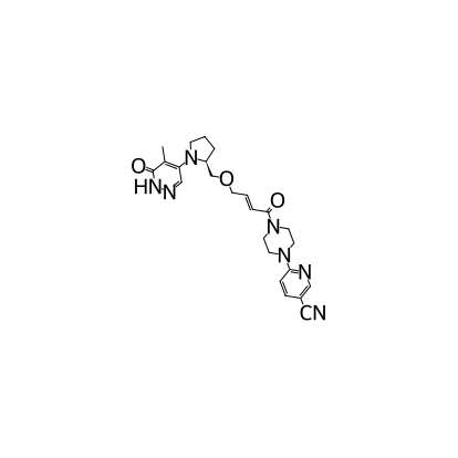 Cc1c(N2CCC[C@H]2COC/C=C/C(=O)N2CCN(c3ccc(C#N)cn3)CC2)cn[nH]c1=O